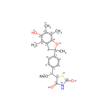 COC(c1ccc(C2(C)Cc3c(C)c(O)c(C)c(C)c3O2)cc1)C1SC(=O)NC1=O